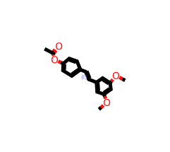 COc1cc(/C=C/c2ccc(OC(C)=O)cc2)cc(OC)c1